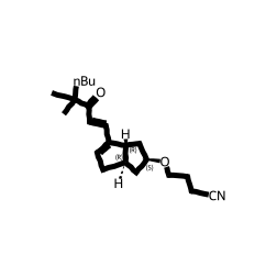 CCCCC(C)(C)C(=O)C=CC1=CC[C@@H]2C[C@H](OCCCC#N)C[C@@H]12